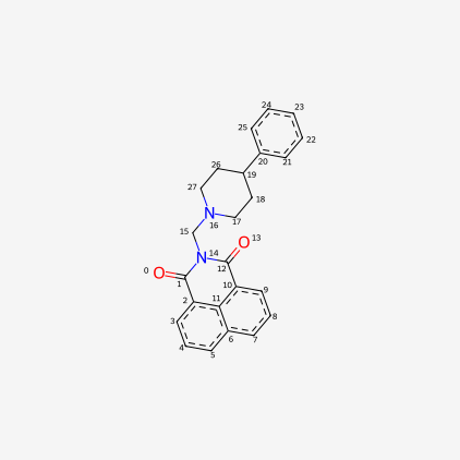 O=C1c2cccc3cccc(c23)C(=O)N1CN1CCC(c2ccccc2)CC1